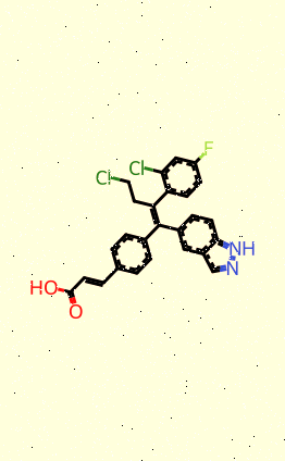 O=C(O)C=Cc1ccc(/C(=C(\CCCl)c2ccc(F)cc2Cl)c2ccc3[nH]ncc3c2)cc1